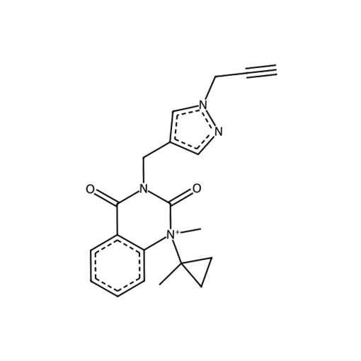 C#CCn1cc(CN2C(=O)c3ccccc3[N+](C)(C3(C)CC3)C2=O)cn1